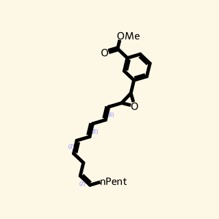 CCCCC/C=C\C\C=C/C=C/C=C/C1OC1c1cccc(C(=O)OC)c1